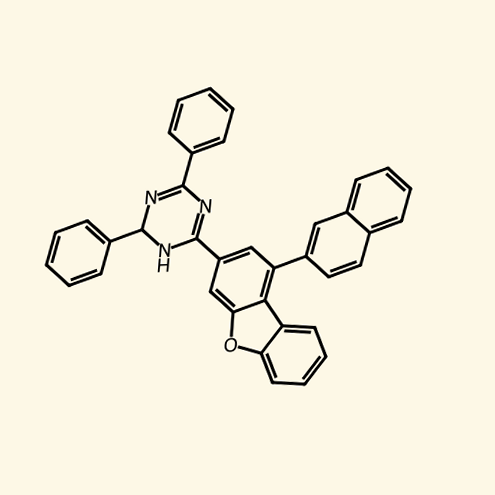 c1ccc(C2=NC(c3ccccc3)NC(c3cc(-c4ccc5ccccc5c4)c4c(c3)oc3ccccc34)=N2)cc1